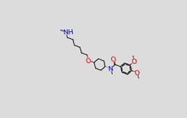 CNCCCCCCO[C@H]1CC[C@H](N(C)C(=O)c2ccc(OC)c(OC)c2)CC1